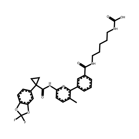 Cc1ccc(NC(=O)C2(c3ccc4c(c3)OC(F)(F)O4)CC2)nc1-c1cccc(C(=O)NCCCCCNC(=O)O)c1